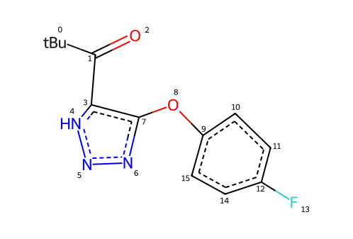 CC(C)(C)C(=O)c1[nH]nnc1Oc1ccc(F)cc1